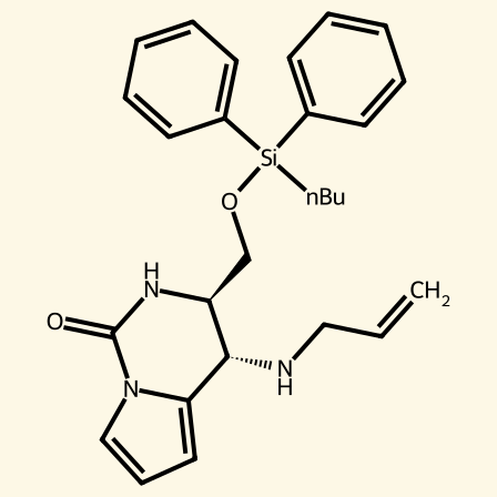 C=CCN[C@@H]1c2cccn2C(=O)N[C@H]1CO[Si](CCCC)(c1ccccc1)c1ccccc1